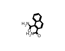 NC(=O)c1ccc2ccccc2c1C(N)=O